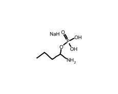 CCCC(N)OP(=O)(O)O.[NaH]